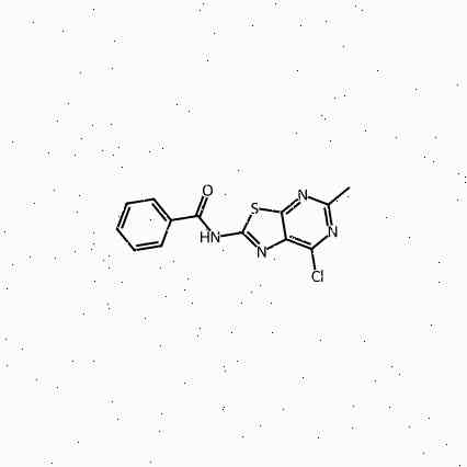 Cc1nc(Cl)c2nc(NC(=O)c3ccccc3)sc2n1